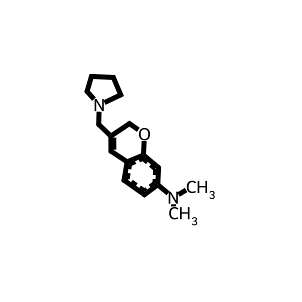 CN(C)c1ccc2c(c1)OCC(CN1CCCC1)=C2